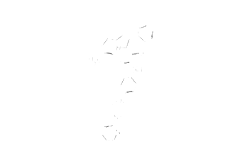 Cc1ccc2cc(-c3ccccc3)c(C(=O)C(=O)Nc3ccc(N4CCN(c5ccccn5)CC4)cc3)n2c1